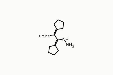 CCCCCCC(=C1CCCC1)C(NN)=C1CCCC1